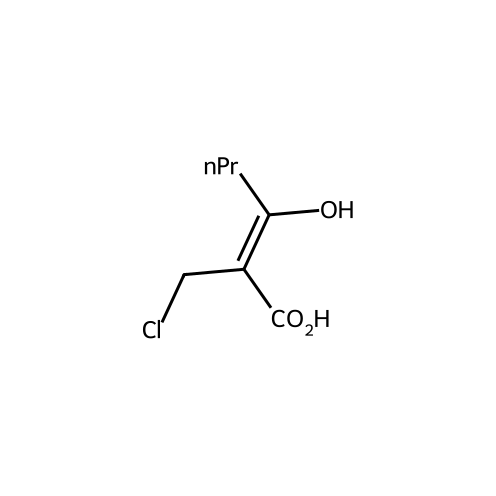 CCCC(O)=C(CCl)C(=O)O